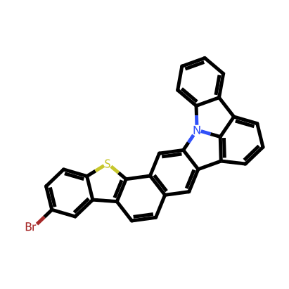 Brc1ccc2sc3c4cc5c(cc4ccc3c2c1)c1cccc2c3ccccc3n5c21